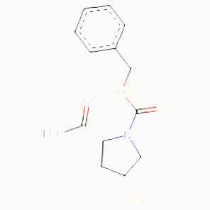 CC(=O)[C@H]1C[C@@H](O)CN1C(=O)OCc1ccccc1